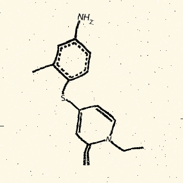 C=C1C=C(Sc2ccc(N)cc2C)C=CN1CC